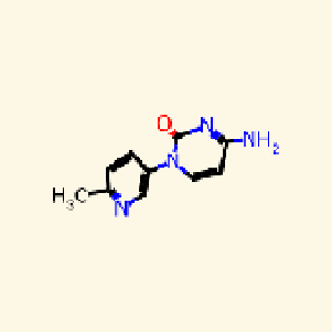 Cc1ccc(-n2ccc(N)nc2=O)cn1